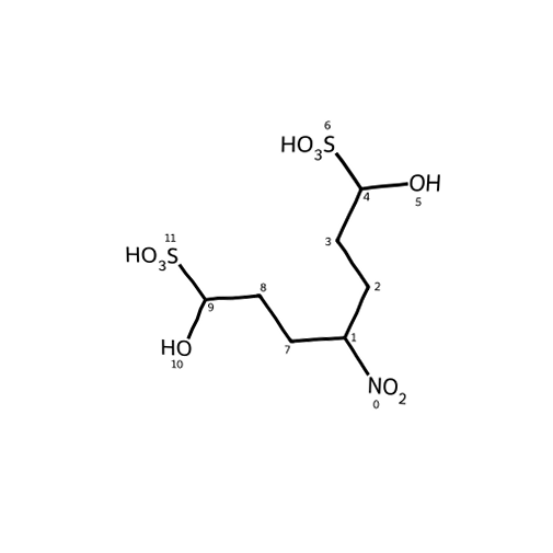 O=[N+]([O-])C(CCC(O)S(=O)(=O)O)CCC(O)S(=O)(=O)O